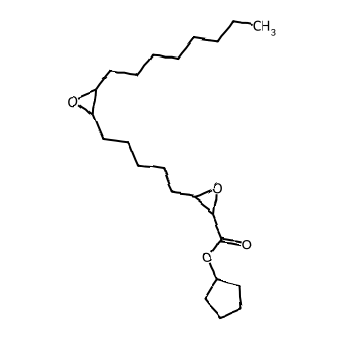 CCCCCCCCC1OC1CCCCCC1OC1C(=O)OC1CCCC1